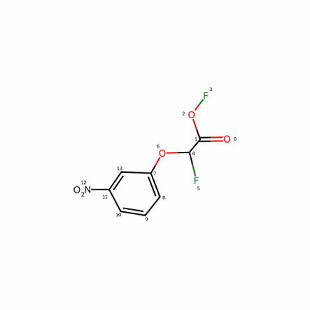 O=C(OF)C(F)Oc1cccc([N+](=O)[O-])c1